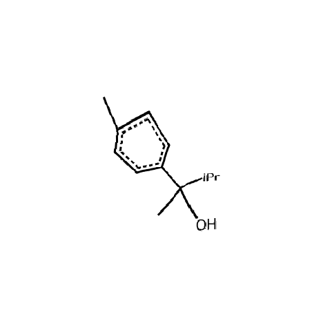 Cc1ccc(C(C)(O)C(C)C)cc1